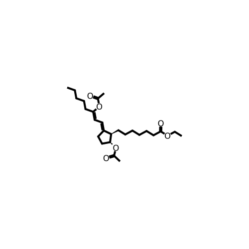 CCCCCC(=CC=C1CC[C@@H](OC(C)=O)[C@@H]1CCCCCCC(=O)OCC)OC(C)=O